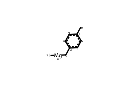 Cc1ccc([CH2][Mg][I])cc1